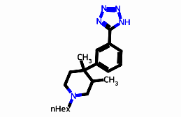 CCCCCCN1CCC(C)(c2cccc(-c3nnn[nH]3)c2)C(C)C1